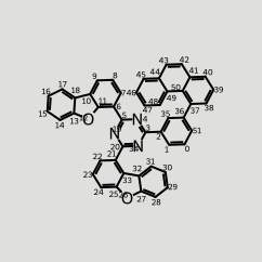 c1cc(-c2nc(-c3cccc4c3oc3ccccc34)nc(-c3cccc4oc5ccccc5c34)n2)cc(-c2cccc3ccc4ccccc4c23)c1